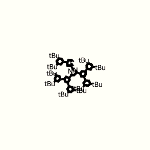 CC(C)(C)c1cc(-c2cc(-c3cc(C(C)(C)C)cc(C(C)(C)C)c3)cc(-c3cc(-c4cc(-c5cc(C(C)(C)C)cc(C(C)(C)C)c5)cc(-c5cc(C(C)(C)C)cc(C(C)(C)C)c5)c4)nc(-c4cccc(-c5cc(C(C)(C)C)cc(C(C)(C)C)c5)c4)n3)c2)cc(C(C)(C)C)c1